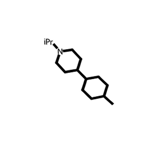 CC1CCC(C2CCN(C(C)C)CC2)CC1